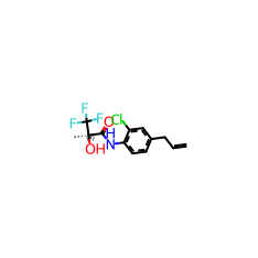 C=CCc1ccc(NC(=O)[C@@](C)(O)C(F)(F)F)c(Cl)c1